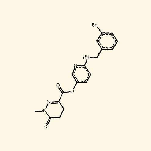 CN1N=C(C(=O)Oc2ccc(NCc3cccc(Br)c3)nc2)CCC1=O